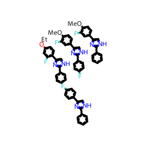 CCOc1ccc(-c2c[nH]c(-c3ccccc3)n2)c(F)c1.COc1ccc(-c2c[nH]c(-c3ccc(F)cc3)n2)cc1F.COc1ccc(-c2c[nH]c(-c3ccccc3)n2)cc1F.Fc1ccc(-c2c[nH]c(-c3ccccc3)n2)cc1